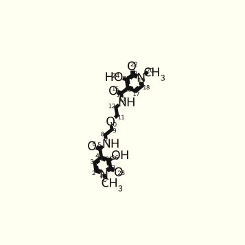 Cn1ccc(C(=O)NCCOCCNC(=O)c2ccn(C)c(=O)c2O)c(O)c1=O